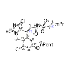 CCC/C=C/S(=O)(=O)NC(=O)/C=C/c1c(Cl)nc(C)n1Cc1ccc(OCCCCC)cc1Cl